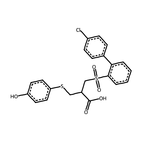 O=C(O)C(CSc1ccc(O)cc1)CS(=O)(=O)c1ccccc1-c1ccc(Cl)cc1